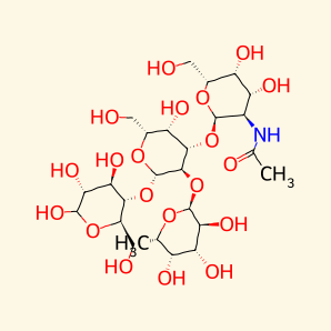 CC(=O)N[C@H]1[C@@H](O[C@H]2[C@@H](O)[C@@H](CO)O[C@@H](O[C@H]3[C@H](O)[C@@H](O)C(O)O[C@@H]3CO)[C@@H]2O[C@@H]2O[C@@H](C)[C@@H](O)[C@@H](O)[C@@H]2O)O[C@H](CO)[C@H](O)[C@@H]1O